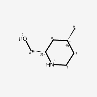 C[C@@H]1CCN[C@H](CO)C1